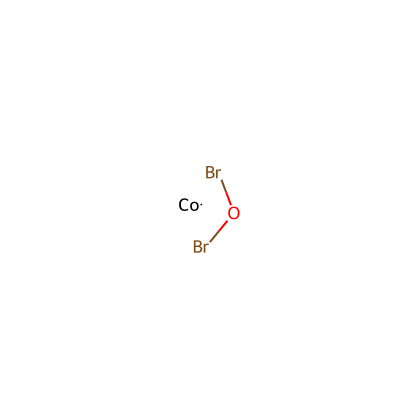 BrOBr.[Co]